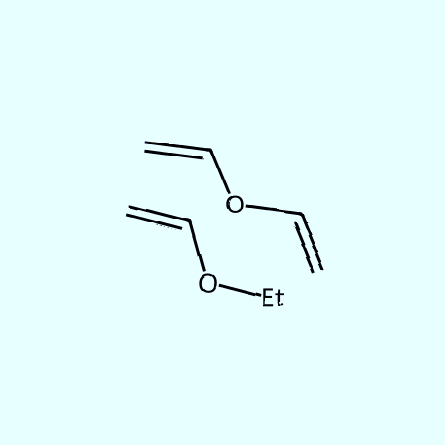 C=COC=C.C=COCC